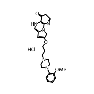 COc1ccccc1N1CCN(CCCOC2=CC3=CNC4=C(N=CCC4=O)N3C2)CC1.Cl